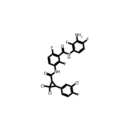 Nc1c(F)ccc(NC(=O)c2c(F)ccc(NC(=O)C3C(c4ccc(F)c(Cl)c4)C3(Cl)Cl)c2F)c1F